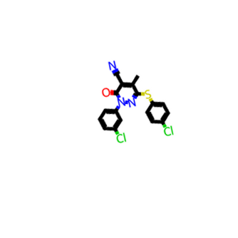 Cc1c(Sc2ccc(Cl)cc2)nn(-c2cccc(Cl)c2)c(=O)c1C#N